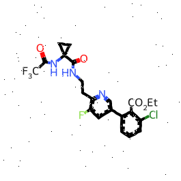 CCOC(=O)c1c(Cl)cccc1-c1cnc(CCNC(=O)C2(NC(=O)C(F)(F)F)CC2)c(F)c1